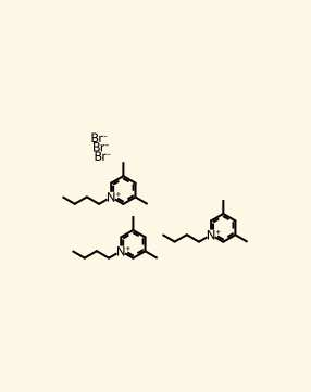 CCCC[n+]1cc(C)cc(C)c1.CCCC[n+]1cc(C)cc(C)c1.CCCC[n+]1cc(C)cc(C)c1.[Br-].[Br-].[Br-]